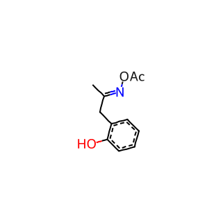 CC(=O)ON=C(C)Cc1ccccc1O